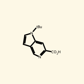 CC(C)(C)n1ccc2cnc(C(=O)O)cc21